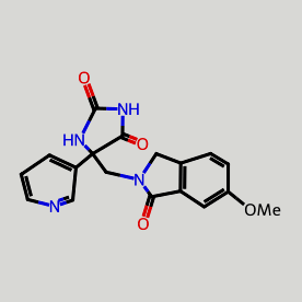 COc1ccc2c(c1)C(=O)N(CC1(c3cccnc3)NC(=O)NC1=O)C2